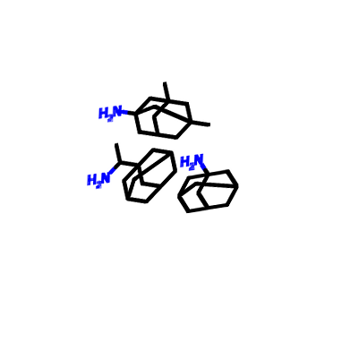 CC(N)C12CC3CC(CC(C3)C1)C2.CC12CC3CC(C)(C1)CC(N)(C3)C2.NC12CC3CC(CC(C3)C1)C2